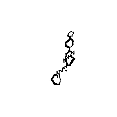 Clc1ccc(-c2cn3nc(OCCCN4CCCCC4)ccc3n2)cc1